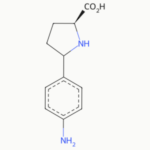 Nc1ccc(C2CC[C@@H](C(=O)O)N2)cc1